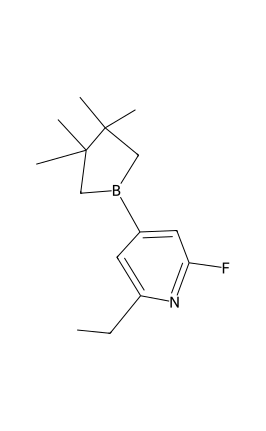 CCc1cc(B2CC(C)(C)C(C)(C)C2)cc(F)n1